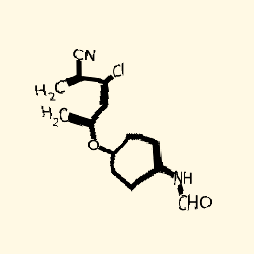 C=C(/C=C(/Cl)C(=C)C#N)OC1CCC(NC=O)CC1